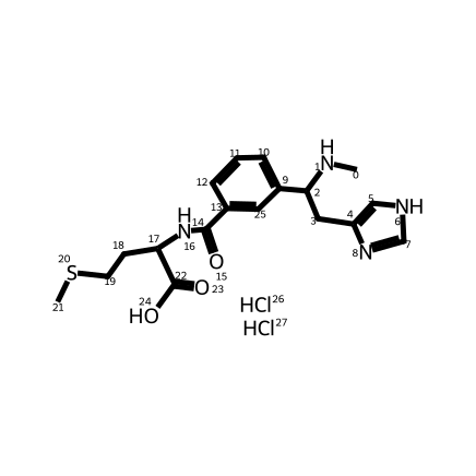 CNC(Cc1c[nH]cn1)c1cccc(C(=O)NC(CCSC)C(=O)O)c1.Cl.Cl